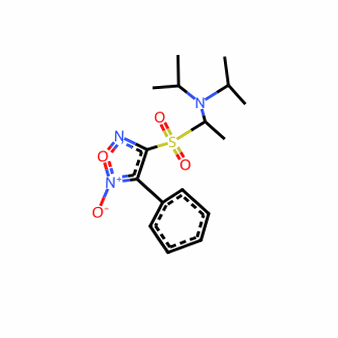 CC(C)N(C(C)C)C(C)S(=O)(=O)c1no[n+]([O-])c1-c1ccccc1